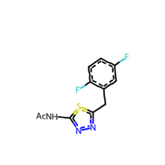 CC(=O)Nc1nnc(Cc2cc(F)ccc2F)s1